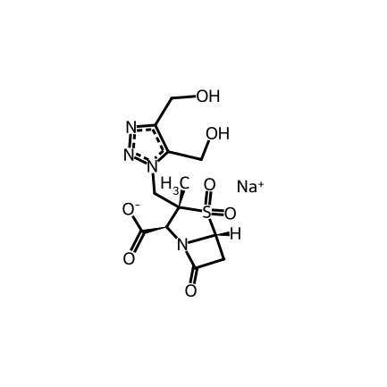 C[C@]1(Cn2nnc(CO)c2CO)[C@H](C(=O)[O-])N2C(=O)C[C@H]2S1(=O)=O.[Na+]